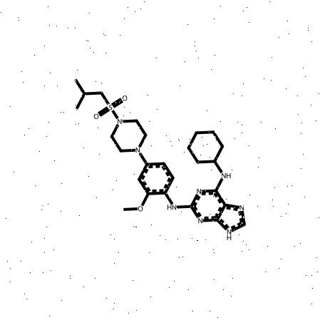 COc1cc(N2CCN(S(=O)(=O)CC(C)C)CC2)ccc1Nc1nc(NC2CCCCC2)c2nc[nH]c2n1